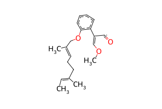 CC=C(C)CCC=C(C)COc1ccccc1C([C]=O)=COC